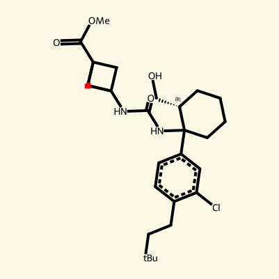 COC(=O)C12CC(NC(=O)NC3(c4ccc(CCC(C)(C)C)c(Cl)c4)CCCC[C@H]3CO)(C1)C2